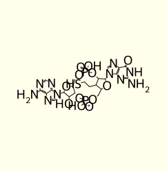 Nc1nc2c(ncn2C2OC3COP(=O)(O)OC4C(COP(=O)(O)OC2C3CCS)OC(n2cnc3c(N)ncnc32)C4O)c(=O)[nH]1